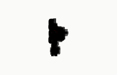 O=S(=O)(c1ccc(Cl)cc1)C12CCOC(CCn3ccnc3)C1COc1c(F)ccc(F)c12